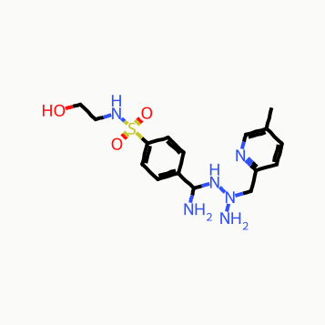 Cc1ccc(CN(N)NC(N)c2ccc(S(=O)(=O)NCCO)cc2)nc1